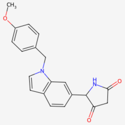 COc1ccc(Cn2ccc3ccc(C4NC(=O)CC4=O)cc32)cc1